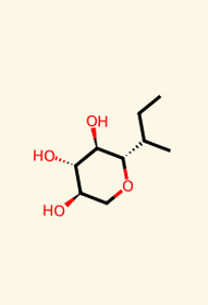 CCC(C)[C@@H]1OC[C@@H](O)[C@H](O)[C@H]1O